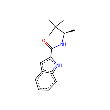 C[C@@H](NC(=O)c1cc2ccccc2[nH]1)C(C)(C)C